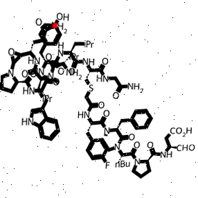 CCCC[C@@H](C(=O)N1CCC[C@@H]1C(=O)N[C@H](C=O)CC(=O)O)N(C)C(=O)[C@H](Cc1ccccc1)N(C)C(=O)[C@H](Cc1ccc(F)cc1)NC(=O)CSC[C@H](NC(=O)[C@H](CC(C)C)NC(=O)[C@H](Cc1ccc(O)cc1)NC(=O)[C@H](Cc1c[nH]c2ccccc12)NC(=O)[C@H]1CCCN1C1OC1[C@H](CCC(N)=O)NC(=O)[C@H](CC(C)C)N(C)C(=O)[C@@H](N)C(C)C)C(=O)NCC(N)=O